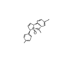 Cc1ccc([C@H]2C=C[C@@H](c3ccc(C)cc3)[P@@]2(=O)N(C)C)cc1